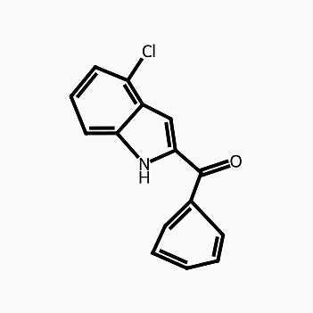 O=C(c1ccccc1)c1cc2c(Cl)cccc2[nH]1